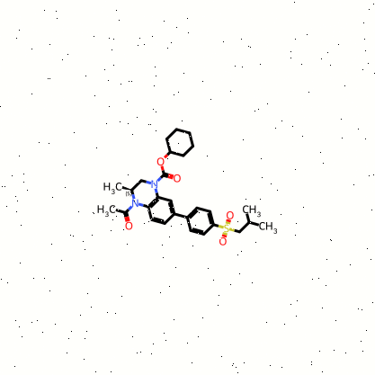 CC(=O)N1c2ccc(-c3ccc(S(=O)(=O)CC(C)C)cc3)cc2N(C(=O)OC2CCCCC2)C[C@@H]1C